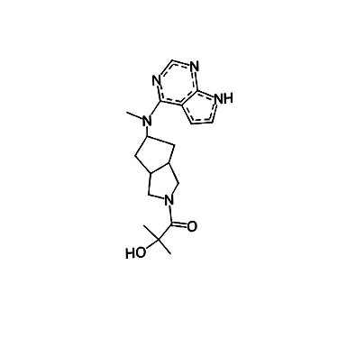 CN(c1ncnc2[nH]ccc12)C1CC2CN(C(=O)C(C)(C)O)CC2C1